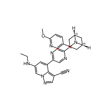 CCNc1cc(-c2cnc(N3C[C@H]4C[C@@H](C3)N4Cc3ccc(OC)nc3)cn2)c2c(C#N)cnn2c1